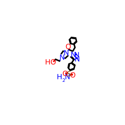 NS(=O)(=O)c1ccc(-c2cn(C(Cc3ccccc3)C(=O)N3CCN(CCO)CC3)nn2)cc1